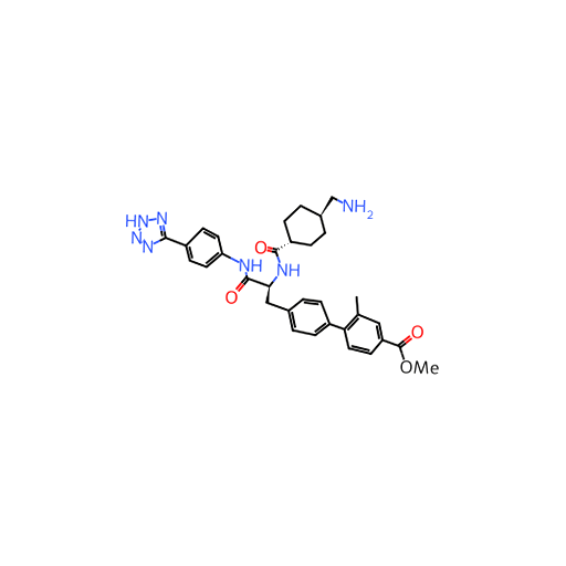 COC(=O)c1ccc(-c2ccc(C[C@H](NC(=O)[C@H]3CC[C@H](CN)CC3)C(=O)Nc3ccc(-c4nn[nH]n4)cc3)cc2)c(C)c1